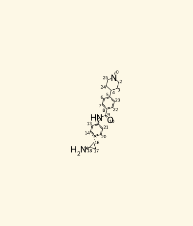 CN1CCC(c2ccc(C(=O)Nc3ccc([C@@H]4C[C@H]4N)cc3)cc2)CC1